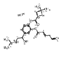 C=CC/C=C/C(=O)Oc1cc(C(O)CNC(C)C)ccc1OC(=O)C1CC(C)(C)C1.Cl